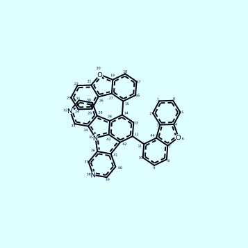 c1ccc2c(c1)oc1cccc(-c3cc(-c4cccc5oc6ccccc6c45)c4c5ccncc5n5c6cnccc6c3c45)c12